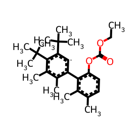 CCOC(=O)Oc1ccc(C)c(C)c1-c1[c]c(C(C)(C)C)c(C(C)(C)C)c(C)c1C